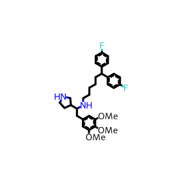 COc1cc(CC(NCCCCCC(c2ccc(F)cc2)c2ccc(F)cc2)C2CCNC2)cc(OC)c1OC